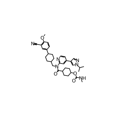 CNC(=O)OC1CCC(C(=O)N(CC2CCC(c3ccc(OC)c(C#N)c3)CC2)c2cc(-c3cnn(C(C)C)c3)ccn2)CC1